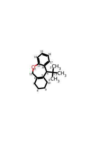 CC(C)(C)C1C2=C(CCCC2)COc2ccccc21